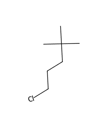 CC(C)(C)CCCCl